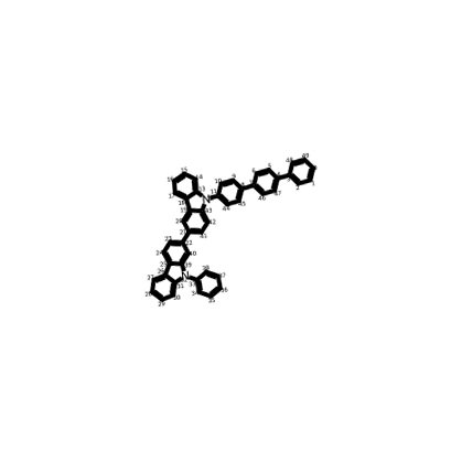 c1ccc(-c2ccc(-c3ccc(-n4c5ccccc5c5cc(-c6ccc7c8ccccc8n(-c8ccccc8)c7c6)ccc54)cc3)cc2)cc1